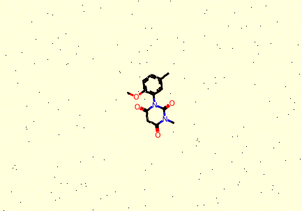 COc1ccc(C)cc1N1C(=O)CC(=O)N(C)C1=O